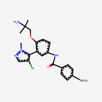 CC(=O)Nc1ccc(C(=O)Nc2ccc(OCC(C)(C)N)c(-c3c(Br)cnn3C)c2)cc1